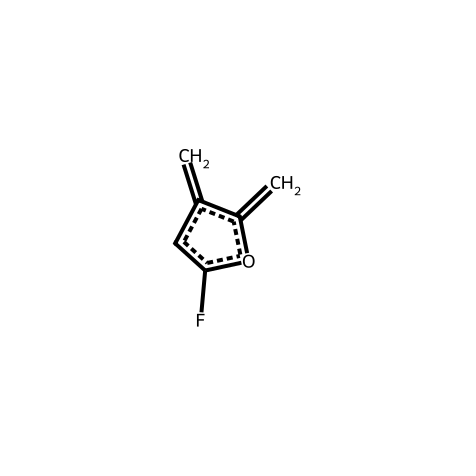 C=c1cc(F)oc1=C